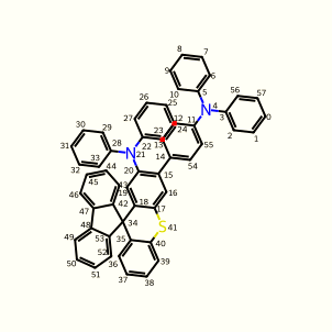 c1ccc(N(c2ccccc2)c2ccc(-c3cc4c(cc3N(c3ccccc3)c3ccccc3)C3(c5ccccc5S4)c4ccccc4-c4ccccc43)cc2)cc1